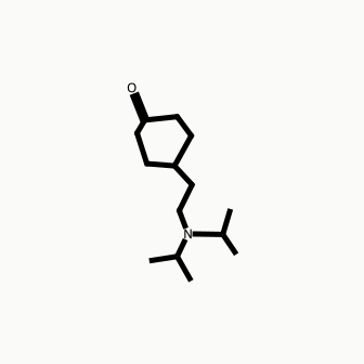 CC(C)N(CCC1CCC(=O)CC1)C(C)C